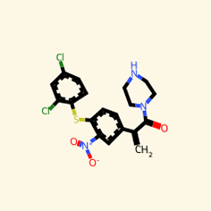 C=C(C(=O)N1CCNCC1)c1ccc(Sc2ccc(Cl)cc2Cl)c([N+](=O)[O-])c1